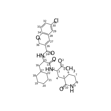 CC(=O)C(CC1CCCNC1=O)NC(=O)C(CC1CCCCC1)NC(=O)C1=Cc2cc(Cl)ccc2OC1